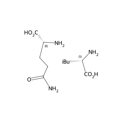 CCC(C)[C@H](N)C(=O)O.NC(=O)CC[C@@H](N)C(=O)O